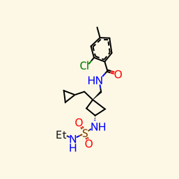 CCNS(=O)(=O)N[C@H]1C[C@@](CNC(=O)c2ccc(C)cc2Cl)(CC2CC2)C1